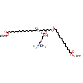 CCCCCCOC(=O)CCCCCCCCCCCCCCCCC(=O)OCCCC(CCCOC(=O)CCCCCCCCCCCCCCCCC(=O)OCCCCCC)OC(=O)NCCOCCN(C)C